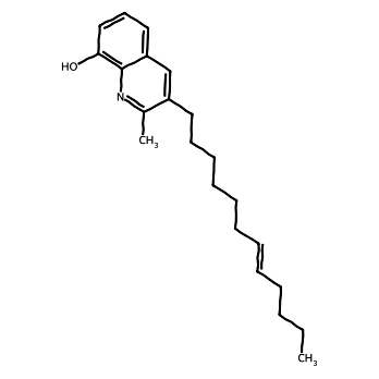 CCCCC=CCCCCCCc1cc2cccc(O)c2nc1C